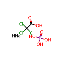 O=C(O)C(Cl)(Cl)Cl.O=P(O)(O)O.[NaH]